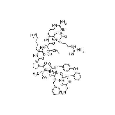 C[C@@H](O)[C@H](NC(=O)[C@H](CCCCN)NC(=O)[C@@H]1CCCN1C(=O)[C@@H](NC(=O)[C@H](Cc1ccc(O)cc1)NC(=O)[C@H](Cc1ccccc1)NC(=O)[C@H](Cc1ccccc1)NC(=O)CN)[C@@H](C)O)C(=O)N[C@@H](CCCNC(=N)N)C(=O)N[C@@H](CCCNC(=N)N)C(=O)O